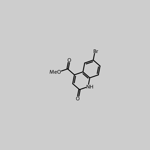 COC(=O)c1cc(=O)[nH]c2ccc(Br)cc12